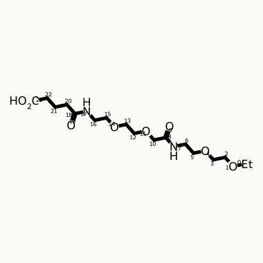 CCOCCOCCNC(=O)COCCOCCNC(=O)CCCC(=O)O